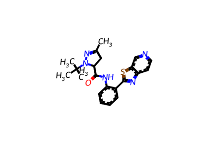 CC1=NN(C(C)(C)C)C(C(=O)Nc2ccccc2-c2nc3ccncc3s2)C1